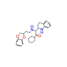 O=C(C1CCCCC1)C(NCCC1COc2ccccc2O1)C1CCc2ccccc2N1